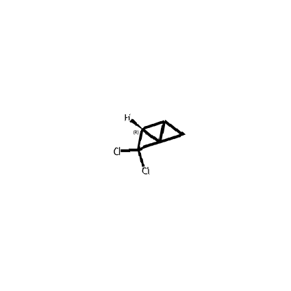 ClC1(Cl)[C@@H]2C3CC321